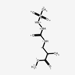 COC(=O)C(C)CNC(=O)NNS(C)(=O)=O